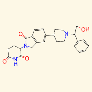 O=C1CCC(N2Cc3cc(C4CCN(C(CO)c5ccccc5)CC4)ccc3C2=O)C(=O)N1